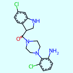 Nc1cccc(Cl)c1N1CCN(C(=O)C2CNc3cc(Cl)ccc32)CC1